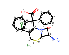 Cl.N[C@@H]1C(=O)N2C(C(C(=O)O)(c3ccccc3)c3ccccc3)=C(CCl)CSC12